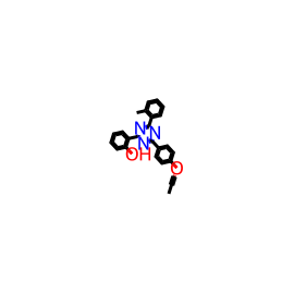 CC#COc1ccc(-c2nc(-c3ccccc3C)nc(-c3ccccc3O)n2)cc1